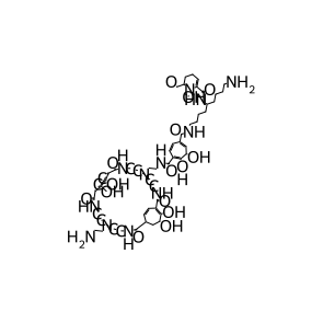 NCCCCC(CCCCNC(=O)C1=CC(O)C(O)=C(C(=O)NCCN2CCNC(=O)C3=C(O)C(O)CC(C=C3)C(=O)NCCN(CCN)CCNC(=O)c3ccc(c(O)c3O)C(=O)NCC2)C=C1)NC(=O)C1=CCCC(C=O)N1O